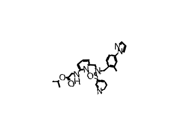 Cc1cc(-n2cccn2)ccc1CN(Cc1cccc(NCC(=O)OC(C)C)n1)[S+]([O-])C1=CCCN=C1